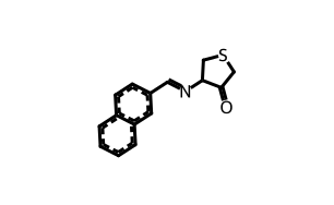 O=C1CSCC1N=Cc1ccc2ccccc2c1